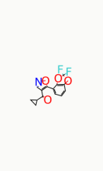 O=C(c1cnoc1-c1cccc2c1OC(F)(F)O2)C1CC1